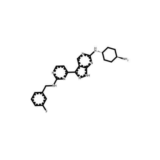 N[C@H]1CC[C@H](Nc2ncc3c(-c4ccnc(NCc5cccc(F)c5)n4)n[nH]c3n2)CC1